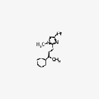 CC(C)c1cn(C)c(CCC(C)C2CCCCC2)n1